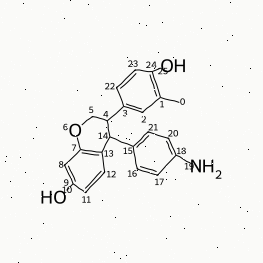 Cc1cc(C2COc3cc(O)ccc3C2c2ccc(N)cc2)ccc1O